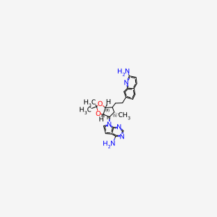 C[C@H]1C(CCc2ccc3ccc(N)nc3c2)[C@H]2OC(C)(C)O[C@H]2[C@@H]1n1ccc2c(N)ncnc21